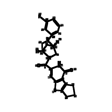 O=C(c1nc2sc3c(c2c(=O)[nH]1)CCC3)N1C[C@@H]2C[C@H]1CN2c1cccc(F)c1